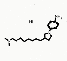 CN(C)CCCCCCCCC1CCN(c2ccc(N)cc2)C1.I